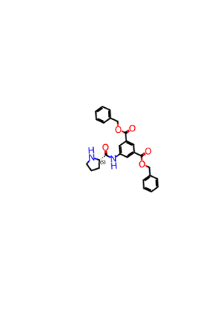 O=C(OCc1ccccc1)c1cc(NC(=O)[C@@H]2CCCN2)cc(C(=O)OCc2ccccc2)c1